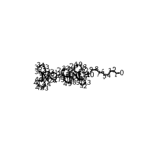 C=C\C=C/C=C\C=C\C=C/C=C(\C)C1=C(NC2=CCCC=C2c2ccc(-c3ccc4c(c3)c3ccccc3n4-c3ccccc3)c3c2CCC=C3)CC=C1